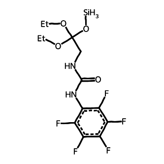 CCOC(CNC(=O)Nc1c(F)c(F)c(F)c(F)c1F)(O[SiH3])OCC